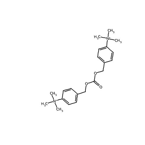 C[N+](C)(C)c1ccc(COC(=O)OCc2ccc([N+](C)(C)C)cc2)cc1